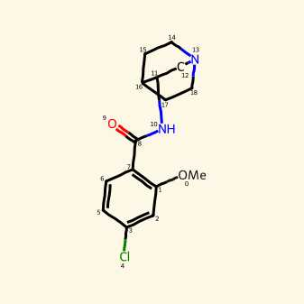 COc1cc(Cl)ccc1C(=O)NC1CN2CCC1CC2